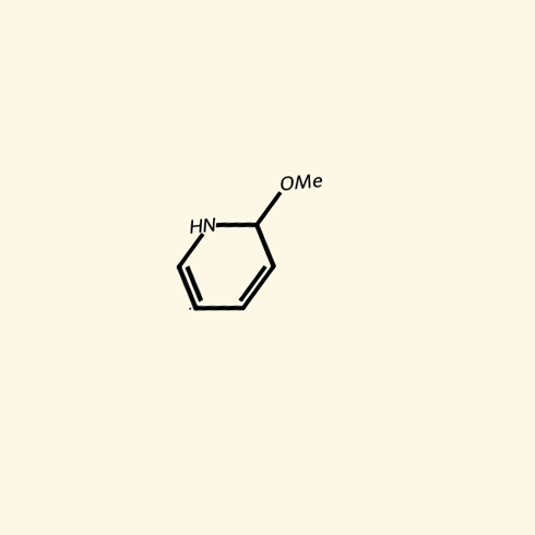 COC1C=C[C]=CN1